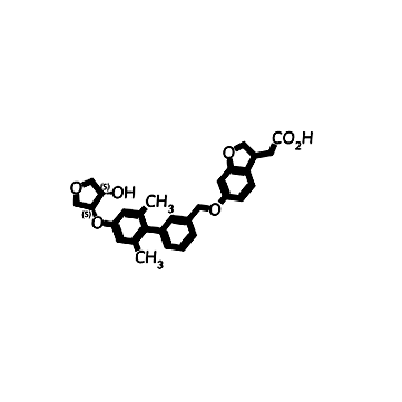 Cc1cc(O[C@H]2COC[C@@H]2O)cc(C)c1-c1cccc(COc2ccc3c(c2)OCC3CC(=O)O)c1